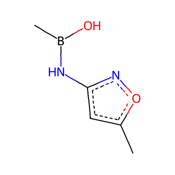 CB(O)Nc1cc(C)on1